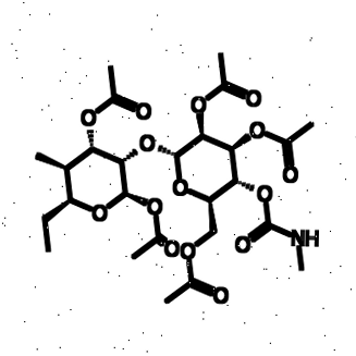 CC[C@@H]1O[C@H](OC(C)=O)[C@@H](O[C@H]2O[C@H](COC(C)=O)[C@@H](OC(=O)NC)[C@H](OC(C)=O)[C@@H]2OC(C)=O)[C@@H](OC(C)=O)[C@@H]1C